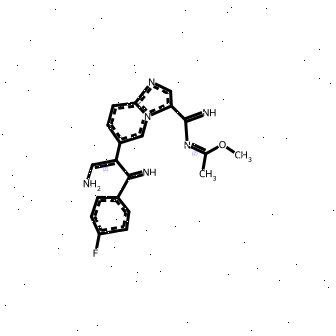 CO/C(C)=N\C(=N)c1cnc2ccc(/C(=C/N)C(=N)c3ccc(F)cc3)cn12